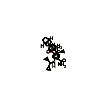 Cc1cc(C(N)=O)c(NC(C2CC2)C2CC2)cc1C(=O)N[C@H]1C[C@H]2CC[C@@H](C1)N2c1ccc(C(=O)C2CC2)cn1